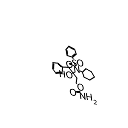 NC(=O)OCCC(O)(Cc1ccccc1)N(C1CCCCC1)S(=O)(=O)c1ccccc1